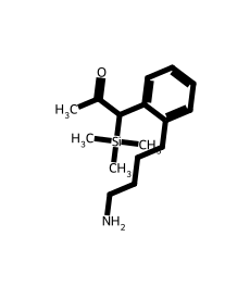 CC(=O)C(c1ccccc1CCCCN)[Si](C)(C)C